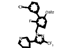 COc1ccc(Cn2nc(C(F)(F)F)cc2C2=CN=CCC2)c(F)c1-c1cccc(Cl)c1